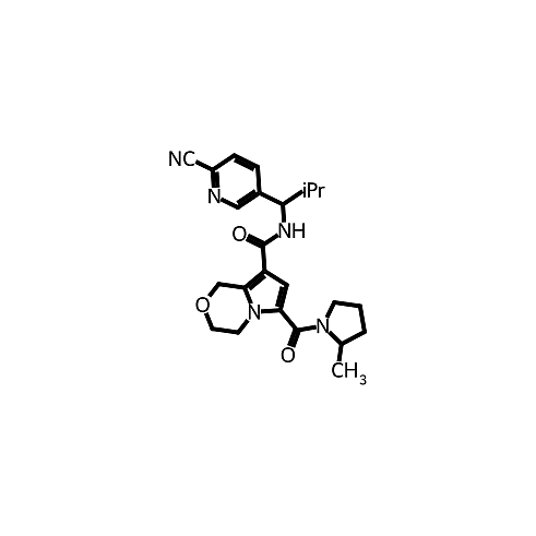 CC(C)C(NC(=O)c1cc(C(=O)N2CCCC2C)n2c1COCC2)c1ccc(C#N)nc1